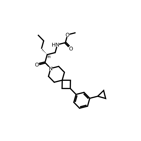 CCC[C@H](CNC(=O)OC)C(=O)N1CCC2(CC1)CC(c1cccc(C3CC3)c1)C2